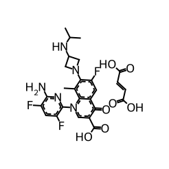 Cc1c(N2CC(NC(C)C)C2)c(F)cc2c(=O)c(C(=O)O)cn(-c3nc(N)c(F)cc3F)c12.O=C(O)C=CC(=O)O